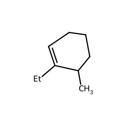 CCC1=CCCCC1C